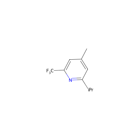 Cc1cc(C(C)C)nc(C(F)(F)F)c1